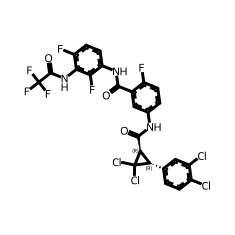 O=C(Nc1ccc(F)c(NC(=O)C(F)(F)F)c1F)c1cc(NC(=O)[C@H]2[C@H](c3ccc(Cl)c(Cl)c3)C2(Cl)Cl)ccc1F